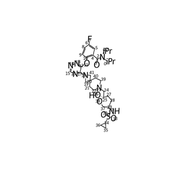 CC(C)N(C(=O)c1cc(F)ccc1Oc1nncnc1N1CC2(CCN(C[C@@]3(O)CC[C@@H](NS(=O)(=O)C4CC4)CO3)CC2)C1)C(C)C